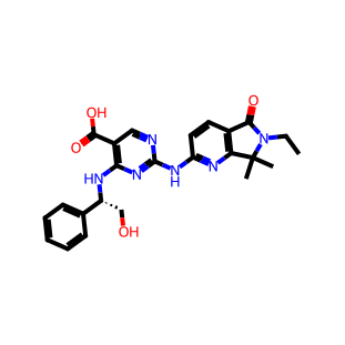 CCN1C(=O)c2ccc(Nc3ncc(C(=O)O)c(N[C@H](CO)c4ccccc4)n3)nc2C1(C)C